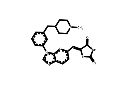 CN1CCC(Cc2cccc(-n3cnc4ccc(/C=C5\SC(=O)NC5=O)nc43)c2)CC1